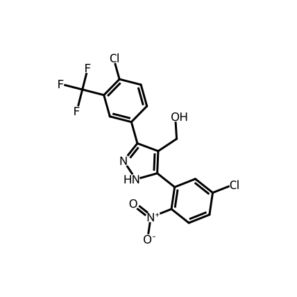 O=[N+]([O-])c1ccc(Cl)cc1-c1[nH]nc(-c2ccc(Cl)c(C(F)(F)F)c2)c1CO